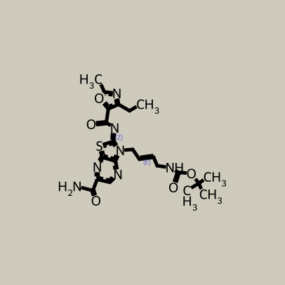 CCc1nc(C)oc1C(=O)/N=c1\sc2nc(C(N)=O)cnc2n1C/C=C/CNC(=O)OC(C)(C)C